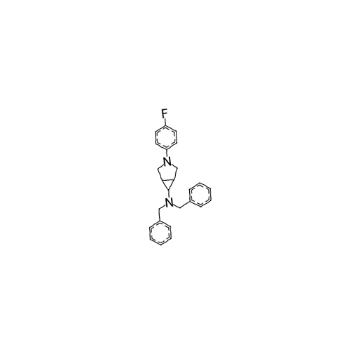 Fc1ccc(N2CC3C(C2)C3N(Cc2ccccc2)Cc2ccccc2)cc1